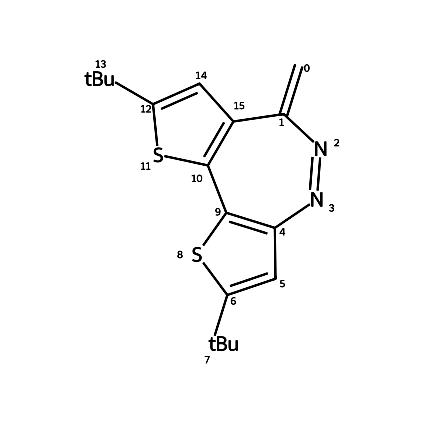 C=C1N=Nc2cc(C(C)(C)C)sc2-c2sc(C(C)(C)C)cc21